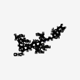 C=C(O)[C@H](C)CC1CC[C@@H]2O[C@@H](CCC/C=C/[C@H](O[Si](C)(C)C(C)(C)C)[C@@H]3O[C@H]4CC[C@H](CC(=O)C[C@H]5[C@H](CC=O)OC(C[C@@H](CO[Si](C)(C)C(C)(C)C)O[Si](C)(C)C(C)(C)C)[C@@H]5OC)O[C@@H]4C(O[Si](C)(C)C(C)(C)C)C3O[Si](C)(C)C(C)(C)C)CC2(CI)O1